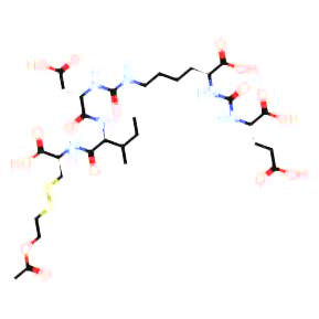 CCC(C)[C@H](NC(=O)[C@H](CC(=O)O)NC(=O)NCCCC[C@H](NC(=O)N[C@@H](CCC(=O)O)C(=O)O)C(=O)O)C(=O)N[C@@H](CSSCCOC(C)=O)C(=O)O